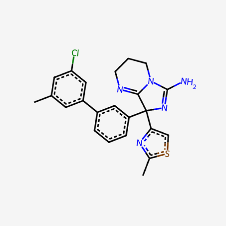 Cc1cc(Cl)cc(-c2cccc(C3(c4csc(C)n4)N=C(N)N4CCCN=C43)c2)c1